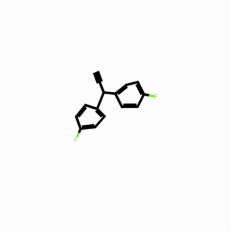 C#CC(c1ccc(F)cc1)c1ccc(F)cc1